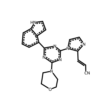 N#CC=Cc1nccn1-c1nc(-c2cccc3[nH]ccc23)nc(N2CCOCC2)n1